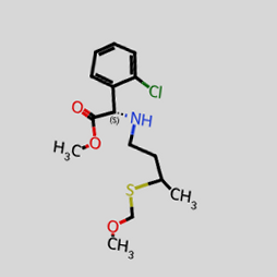 COCSC(C)CCN[C@H](C(=O)OC)c1ccccc1Cl